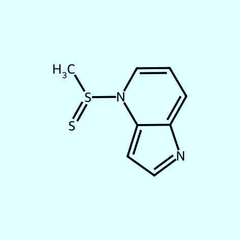 CS(=S)n1cccc2nccc1-2